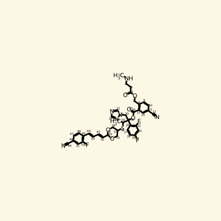 CNCCC(=O)OCc1ccc(C#N)cc1C(=O)OC(Cn1cncn1)(c1ccc(F)cc1F)C(C)SC1COC(C=CC=Cc2ccc(C#N)cc2F)OC1